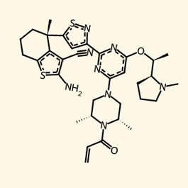 C=CC(=O)N1[C@H](C)CN(c2cc(O[C@@H](C)[C@@H]3CCCN3C)nc(-c3cc([C@@]4(C)CCCc5sc(N)c(C#N)c54)sn3)n2)C[C@@H]1C